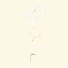 Cc1ncnc2c1ncn2[C@@H]1O[C@H](CN(C)C/C=C/CN)[C@@H](O)[C@@H]1F